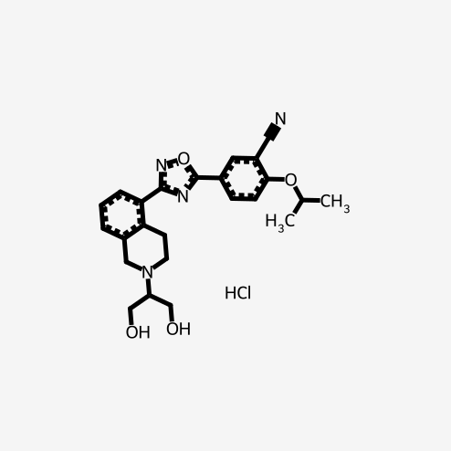 CC(C)Oc1ccc(-c2nc(-c3cccc4c3CCN(C(CO)CO)C4)no2)cc1C#N.Cl